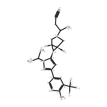 CC(CC#N)N1C[C@@H]2[C@H](C1)[C@H]2c1cc(-c2cnc(N)c(C(F)(F)F)c2)nn1C(C)C